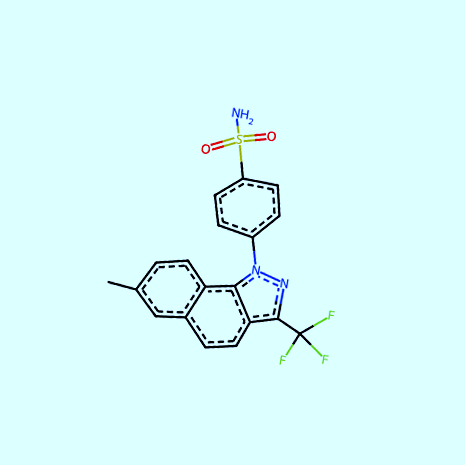 Cc1ccc2c(ccc3c(C(F)(F)F)nn(-c4ccc(S(N)(=O)=O)cc4)c32)c1